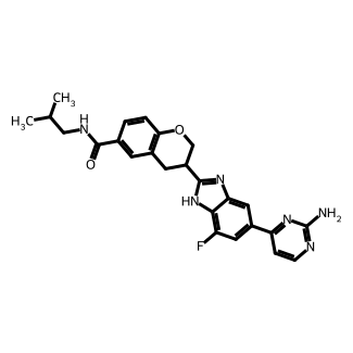 CC(C)CNC(=O)c1ccc2c(c1)CC(c1nc3cc(-c4ccnc(N)n4)cc(F)c3[nH]1)CO2